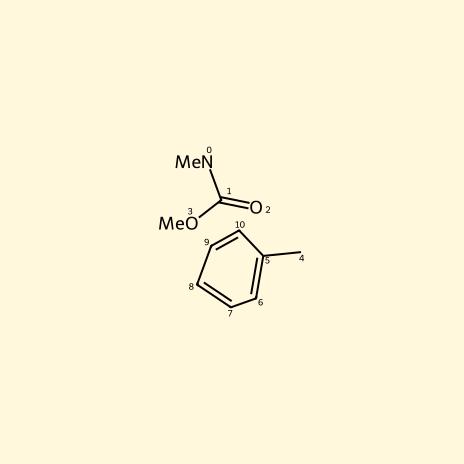 CNC(=O)OC.Cc1ccccc1